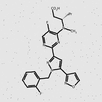 CC(C)[C@@H](CC(=O)O)N(C)c1nc(-c2cc(-c3ccon3)n(Cc3ccccc3F)n2)ncc1F